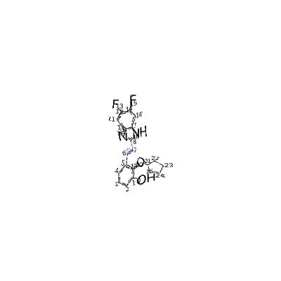 Oc1cccc(/C=C/c2nc3cc(F)c(F)cc3[nH]2)c1OC1CCCC1